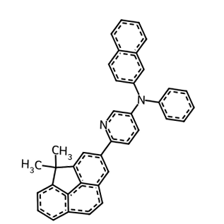 CC1(C)c2cccc3ccc4cc(-c5ccc(N(c6ccccc6)c6ccc7ccccc7c6)cn5)cc1c4c23